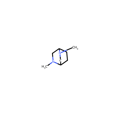 CN1CC2CCC1CN2C